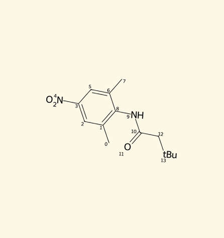 Cc1cc([N+](=O)[O-])cc(C)c1NC(=O)CC(C)(C)C